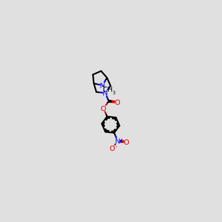 CN1C2CCC1CN(C(=O)Oc1ccc([N+](=O)[O-])cc1)C2